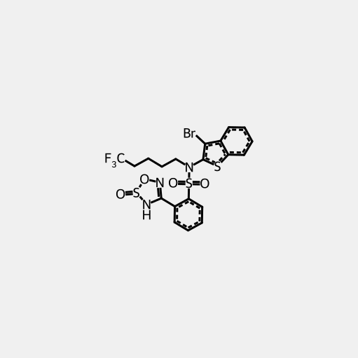 O=S1NC(c2ccccc2S(=O)(=O)N(CCCCC(F)(F)F)c2sc3ccccc3c2Br)=NO1